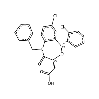 O=C(O)C[C@@H]1O[C@@H](c2ccccc2Cl)c2cc(Cl)ccc2N(Cc2ccccc2)C1=O